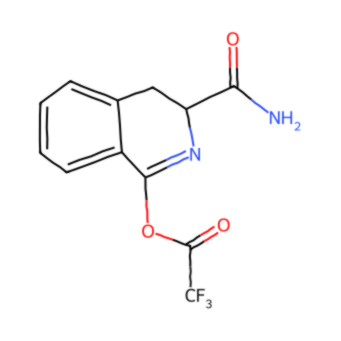 NC(=O)C1Cc2ccccc2C(OC(=O)C(F)(F)F)=N1